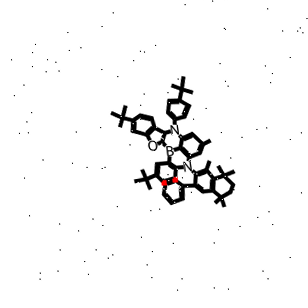 Cc1cc2c3c(c1)N(c1ccc(C(C)(C)C)cc1)C1c4ccc(C(C)(C)C)cc4OC1B3c1cc(C(C)(C)C)ccc1N2c1c(-c2ccccc2)cc2c(c1C)C(C)(C)CCC2(C)C